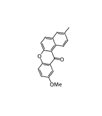 COc1ccc2oc3ccc4cc(C)ccc4c3c(=O)c2c1